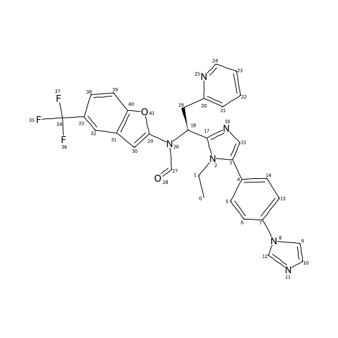 CCn1c(-c2ccc(-n3ccnc3)cc2)cnc1[C@H](Cc1ccccn1)N(C=O)c1cc2cc(C(F)(F)F)ccc2o1